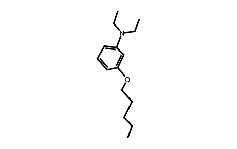 CCCCCOc1cccc(N(CC)CC)c1